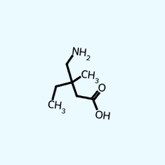 CCC(C)(CN)CC(=O)O